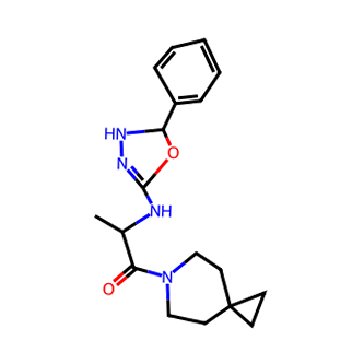 CC(NC1=NNC(c2ccccc2)O1)C(=O)N1CCC2(CC1)CC2